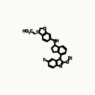 CCOc1nc2ccc(F)cc2n1-c1cccc2c1CCC2Nc1ccc2c(c1)OC[C@H]2CC(=O)O